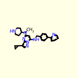 CN(c1cc(NCc2ccc(-c3ccccn3)cc2)n2ncc(C3CC3)c2n1)C1CCNCC1